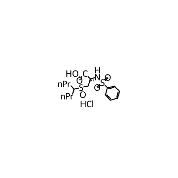 CCCC(CCC)S(=O)(=O)C[C@H](NS(=O)(=O)c1ccccc1)C(=O)O.Cl